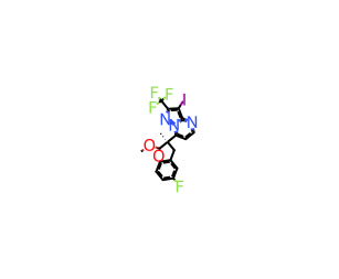 COC(=O)[C@](C)(Cc1cccc(F)c1)c1ccnc2c(I)c(C(F)(F)F)nn12